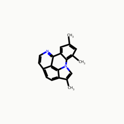 Cc1cc(C)c2c(c1)c1nccc3ccc4c(C)cn2c4c31